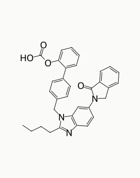 CCCCc1nc2ccc(N3Cc4ccccc4C3=O)cc2n1Cc1ccc(-c2ccccc2OC(=O)O)cc1